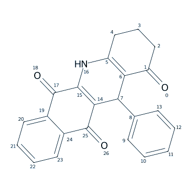 O=C1CCCC2=C1C(c1ccccc1)C1=C(N2)C(=O)c2ccccc2C1=O